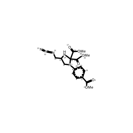 COC(=O)c1ccc(N2CC(CN=[N+]=[N-])NC2(C(=O)OC)C(=O)OC)cc1